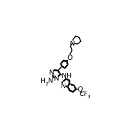 Nc1ncc(-c2ccc(OCCCN3CCCCC3)cc2)c(Nc2cnc3ccc(OC(F)(F)F)cc3c2)n1